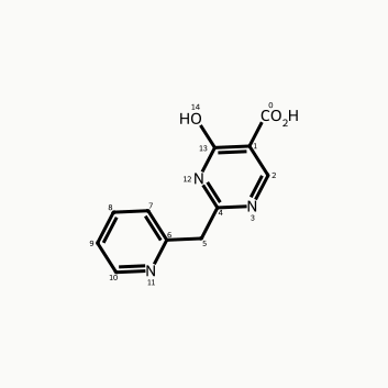 O=C(O)c1cnc(Cc2ccccn2)nc1O